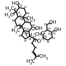 CC(C)=CCC[C@](C)(O[C@H]1CC[C@H](O)C(CO)O1)C1CC[C@]2(C)C1[C@H](O)CC1[C@@]3(C)CCC(O)C(C)(C)C3CC[C@]12C